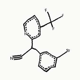 N#CC(c1cccc(Br)c1)c1cc(C(F)(F)F)ccn1